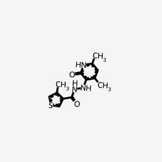 Cc1cc(C)c(NNC(=O)c2cscc2C)c(=O)[nH]1